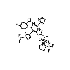 O=S(=O)(N[C@H]1CC2=C(c3ccn(C(F)F)n3)[C@H](c3ccc(F)cc3Cl)N=C(c3nccs3)N2C1)N1CCC[C@@H]1C(F)(F)F